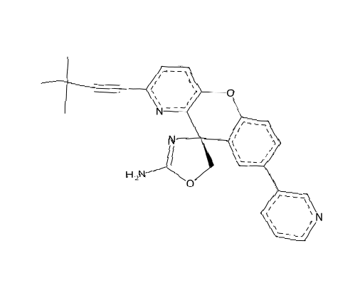 CC(C)(C)C#Cc1ccc2c(n1)[C@]1(COC(N)=N1)c1cc(-c3cccnc3)ccc1O2